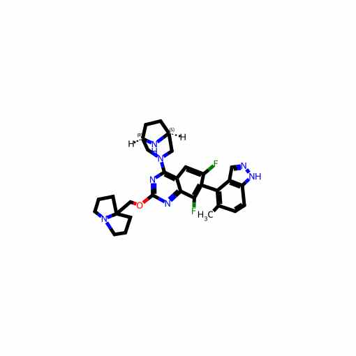 Cc1ccc2[nH]ncc2c1-c1c(F)cc2c(N3C[C@H]4CC[C@@H](C3)N4)nc(OCC34CCCN3CCC4)nc2c1F